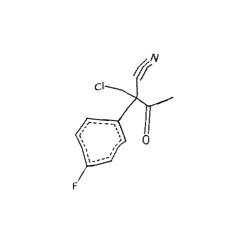 CC(=O)C(Cl)(C#N)c1ccc(F)cc1